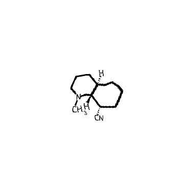 CN1CCC[C@H]2CCC[C@H](C#N)[C@@H]21